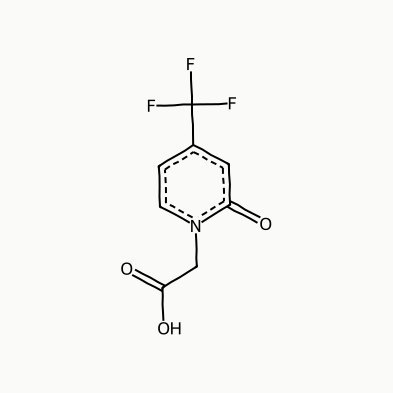 O=C(O)Cn1ccc(C(F)(F)F)cc1=O